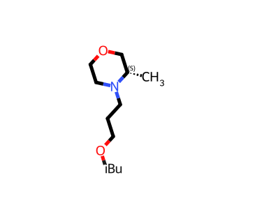 CCC(C)OCCCN1CCOC[C@@H]1C